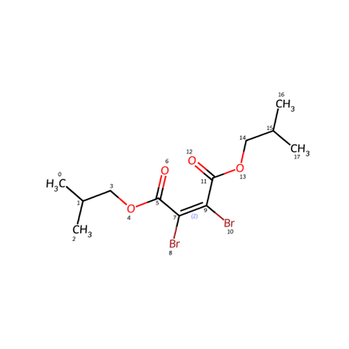 CC(C)COC(=O)/C(Br)=C(/Br)C(=O)OCC(C)C